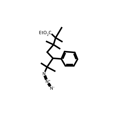 CCOC(=O)C(C)(C)C(C)(C)CC(c1ccccc1)C(C)(C)N=[N+]=[N-]